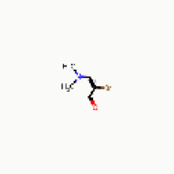 CN(C)/C=C(/Br)C=O